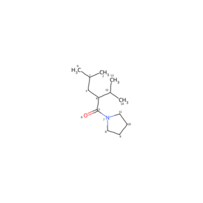 CC(C)CC(C(=O)N1CCCC1)C(C)C